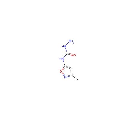 Cc1cc(NC(=O)NN)on1